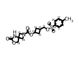 Cc1ccc(S(=O)(=O)OCC2CC(OC(=O)N3CC4(COC(=O)N4)C3)C2)cc1